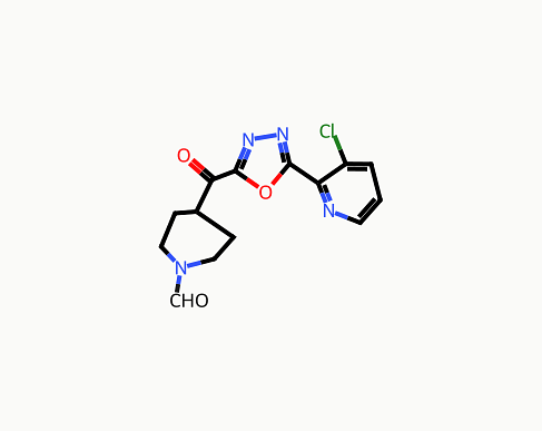 O=CN1CCC(C(=O)c2nnc(-c3ncccc3Cl)o2)CC1